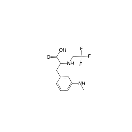 CNc1cccc(CC(NCC(F)(F)F)C(=O)O)c1